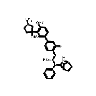 COC1(c2cc(-c3ccc(C[C@@H](C#N)N(c4ccccc4)C4NC5CCC4C5)c(F)c3)ccc2C=O)CCN(C)C1